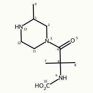 CC1CN(C(=O)C(C)(C)NC(=O)O)CCN1